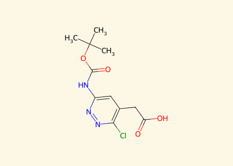 CC(C)(C)OC(=O)Nc1cc(CC(=O)O)c(Cl)nn1